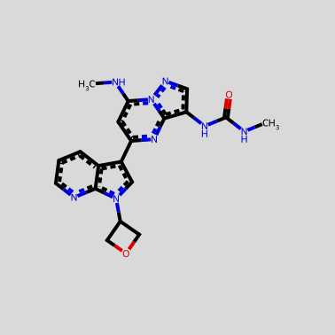 CNC(=O)Nc1cnn2c(NC)cc(-c3cn(C4COC4)c4ncccc34)nc12